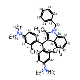 CCN(CC)c1ccc(C(c2ccc(N(CC)CC)cc2C)c2c(C)n(Cc3ccccc3)c3ccccc23)c(C)c1